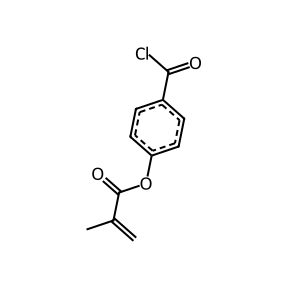 C=C(C)C(=O)Oc1ccc(C(=O)Cl)cc1